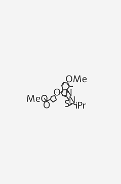 COC(=O)C1CC[C@@H](Oc2cc(-c3nc(C(C)C)cs3)nc3c(C)c(OC)ccc23)C1